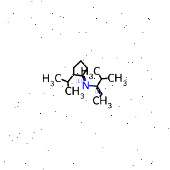 C/C=C(\N=C1/CCCC1C(C)C)C(C)C